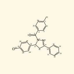 Cc1ccc(C(=O)N2N=C(c3ccccc3)CC2c2ccc(Cl)cc2)cc1